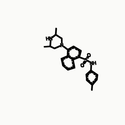 Cc1ccc(NS(=O)(=O)c2ccc(N3CC(C)NC(C)C3)c3ccccc23)cc1